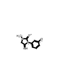 CN1CC(=N)N(c2cccc(Cl)c2)C1=O